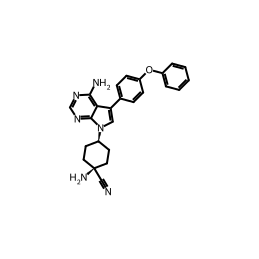 N#C[C@]1(N)CC[C@@H](n2cc(-c3ccc(Oc4ccccc4)cc3)c3c(N)ncnc32)CC1